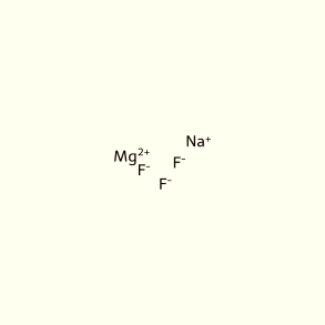 [F-].[F-].[F-].[Mg+2].[Na+]